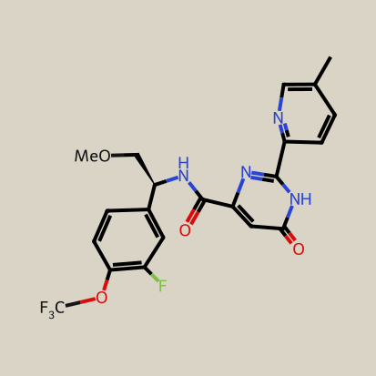 COC[C@@H](NC(=O)c1cc(=O)[nH]c(-c2ccc(C)cn2)n1)c1ccc(OC(F)(F)F)c(F)c1